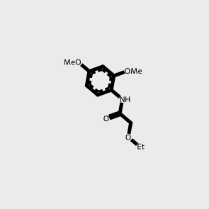 CCOCC(=O)Nc1ccc(OC)cc1OC